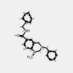 CN1CN(Cc2ccccc2)Cc2cc(C(=O)NCc3ccccc3)cnc21